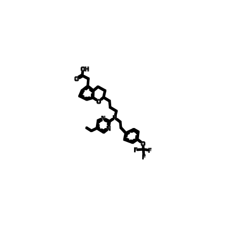 CCc1cnc(N(CCCC2CCc3c(CC(=O)O)cccc3O2)CCc2ccc(OC(F)(F)F)cc2)nc1